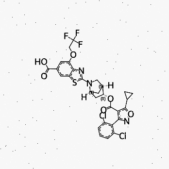 O=C(O)c1cc(OCC(F)(F)F)c2nc(N3C[C@@H]4C[C@H]3C[C@H]4OC(=O)c3c(-c4c(Cl)cccc4Cl)noc3C3CC3)sc2c1